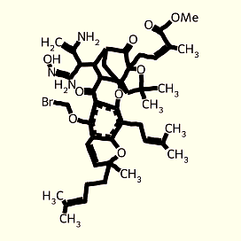 C=C(N)C(/C(N)=N\O)C1C2CC3C(C)(C)OC(C/C=C(/C)C(=O)OC)(C2=O)C32Oc3c(CC=C(C)C)c4c(c(OCBr)c3C(=O)C12)C=CC(C)(CCC=C(C)C)O4